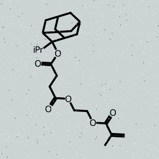 C=C(C)C(=O)OCCOC(=O)CCC(=O)OC1(C(C)C)C2CC3CC(C2)CC1C3